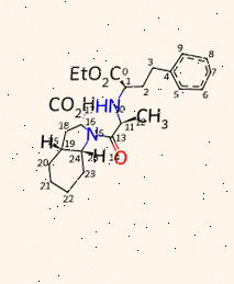 CCOC(=O)[C@@H](CCc1ccccc1)N[C@@H](C)C(=O)N1[C@@H](C(=O)O)C[C@H]2CCCC[C@H]21